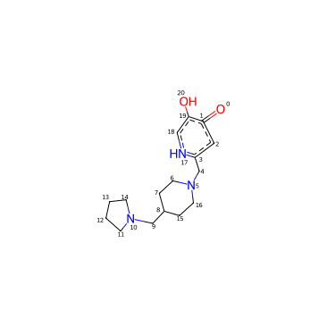 O=c1cc(CN2CCC(CN3CCCC3)CC2)[nH]cc1O